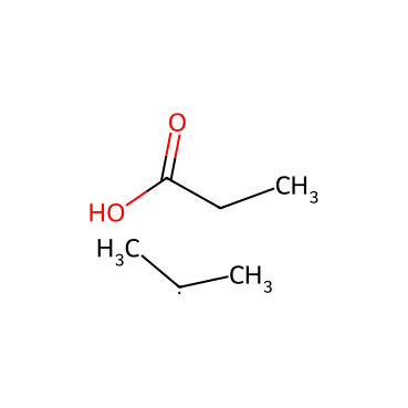 CCC(=O)O.C[CH]C